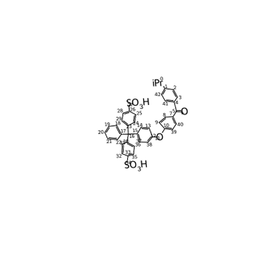 CC(C)c1ccc(C(=O)c2ccc(Oc3ccc(C(c4ccccc4)(c4ccc(S(=O)(=O)O)cc4)c4ccc(S(=O)(=O)O)cc4)cc3)cc2)cc1